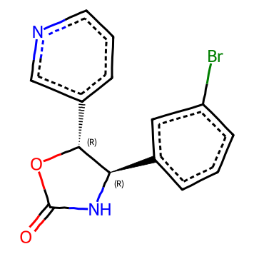 O=C1N[C@H](c2cccc(Br)c2)[C@@H](c2cccnc2)O1